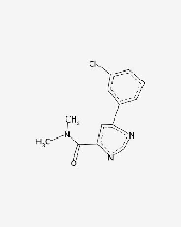 CN(C)C(=O)c1cc(-c2cccc(Cl)c2)ncn1